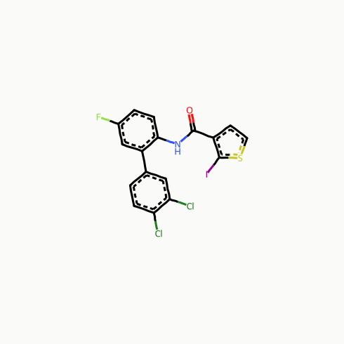 O=C(Nc1ccc(F)cc1-c1ccc(Cl)c(Cl)c1)c1ccsc1I